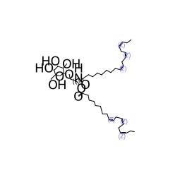 CC/C=C\C/C=C\C/C=C\CCCCCCCC(=O)N[C@H](COC(=O)CCCCCCC/C=C\C/C=C\C/C=C\CC)COC1OC(CO)C(O)C(O)C1O